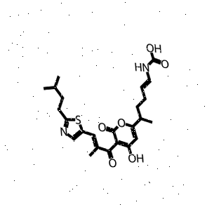 CC(=Cc1cnc(CCC(C)C)s1)C(=O)c1c(O)cc(C(C)CCC=CNC(=O)O)oc1=O